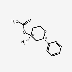 CC(=O)O[C@@]1(C)CCO[C@H](c2ccccc2)C1